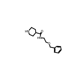 O=C(NCCOCc1ccccc1)C1CCNCC1